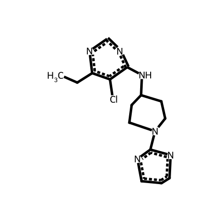 CCc1ncnc(NC2CCN(c3ncccn3)CC2)c1Cl